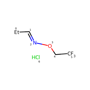 CCC=NOCC(F)(F)F.Cl